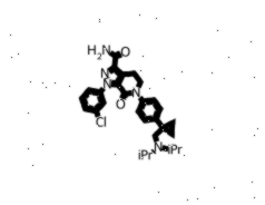 CC(C)N(CC1(c2ccc(N3CCc4c(C(N)=O)nn(-c5cccc(Cl)c5)c4C3=O)cc2)CC1)C(C)C